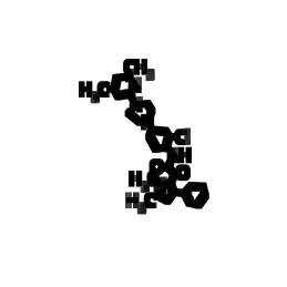 Cc1cc(C)nc(N2CCN(c3ccc(NC(=O)C(=O)c4c(-c5ccccc5)cc(C)n4C)c(Cl)c3)CC2)c1